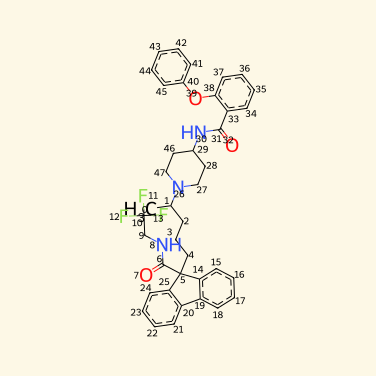 CC(CCCC1(C(=O)NCC(F)(F)F)c2ccccc2-c2ccccc21)N1CCC(NC(=O)c2ccccc2Oc2ccccc2)CC1